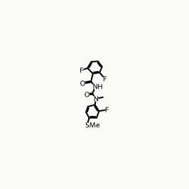 CSc1ccc(N(C)C(=O)NC(=O)c2c(F)cccc2F)c(F)c1